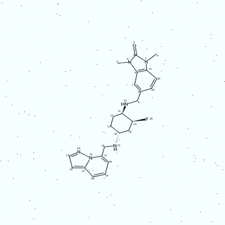 Cn1c(=O)n(C)c2cc(CN[C@@H]3CC[C@@H](NCc4cccc5ccnn45)C[C@@H]3F)ccc21